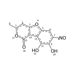 Cc1cc2oc3cc(N=O)c(O)c(O)c3c2c(=O)o1